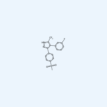 CS(=O)(=O)c1ccc(-c2n[nH]c(C(F)(F)F)c2-c2cccc(F)c2)cc1